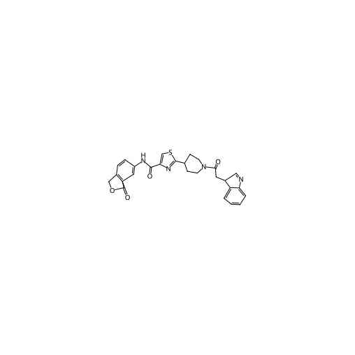 O=C(Nc1ccc2c(c1)C(=O)OC2)c1csc(C2CCN(C(=O)CC3C=Nc4ccccc43)CC2)n1